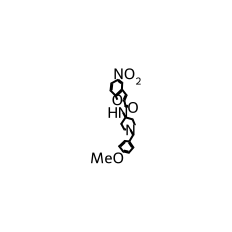 COc1ccc(CN2CCC(NC(=O)c3cc4cc([N+](=O)[O-])ccc4o3)CC2)cc1